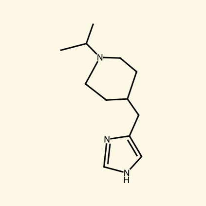 CC(C)N1CCC(Cc2c[nH]cn2)CC1